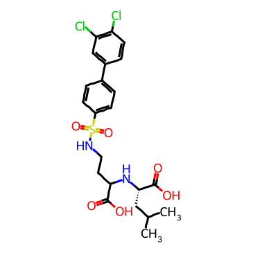 CC(C)C[C@H](NC(CCNS(=O)(=O)c1ccc(-c2ccc(Cl)c(Cl)c2)cc1)C(=O)O)C(=O)O